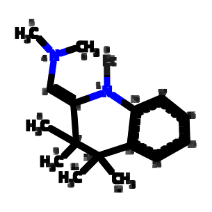 CCN1/C(=C\N(C)C)C(C)(C)C(C)(C)c2ccccc21